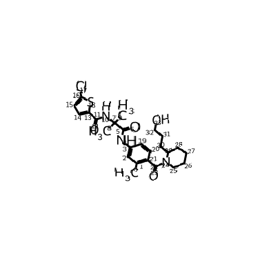 Cc1cc(NC(=O)C(C)(C)NC(=O)c2ccc(Cl)s2)ccc1C(=O)N1CCCCC1CCCO